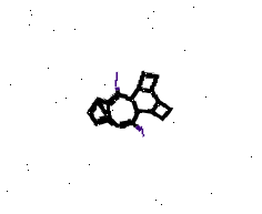 IC1=C2C3=CC=C2C3=C(I)C2C3CCC3C3CCC3C12